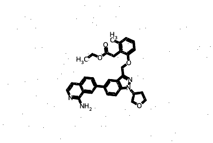 CCOC(=O)Cc1c(C)cccc1OCc1nn(C2CCOC2)c2ccc(-c3ccc4ccnc(N)c4c3)cc12